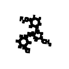 CC1CN(c2cccc(C(F)(F)F)c2)C(=Nc2cccc(Cl)c2)S1